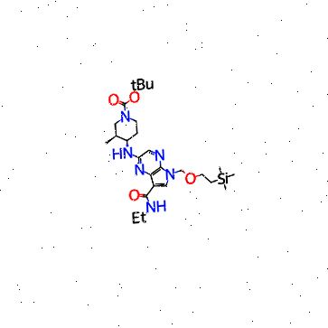 CCNC(=O)c1cn(COCC[Si](C)(C)C)c2ncc(N[C@@H]3CCN(C(=O)OC(C)(C)C)C[C@@H]3C)nc12